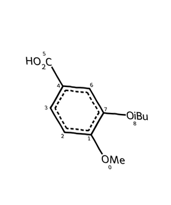 COc1ccc(C(=O)O)cc1OCC(C)C